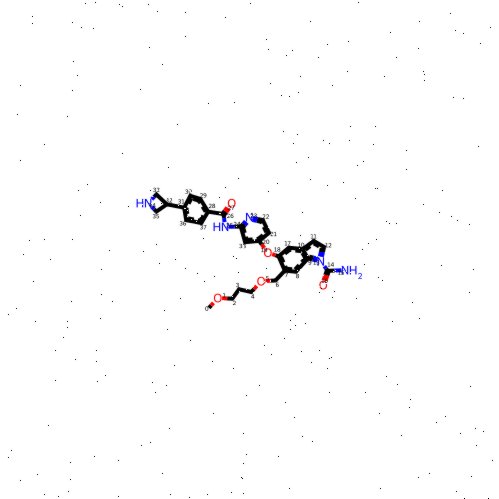 COCCCOCc1cc2c(ccn2C(N)=O)cc1Oc1ccnc(NC(=O)c2ccc(C3CNC3)cc2)c1